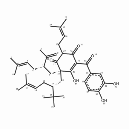 C=C(C)[C@@H](CC=C(C)C)C[C@]1(C[C@@H](CC=C(C)C)C(C)(C)C)C(=O)C(CC=C(C)C)C(=O)C(C(=O)c2ccc(O)c(O)c2)=C1O